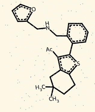 CC(=O)c1c(-c2ccccc2CNCc2ccco2)sc2c1CC(C)(C)CC2